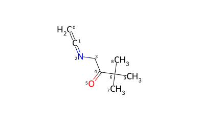 C=C=NCC(=O)C(C)(C)C